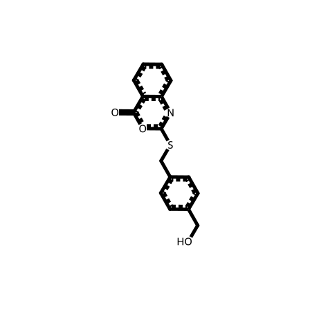 O=c1oc(SCc2ccc(CO)cc2)nc2ccccc12